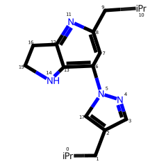 CC(C)Cc1cnn(-c2cc(CC(C)C)nc3c2NCC3)c1